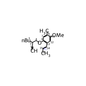 C#CC(CCCC)COc1cc(C)c(OC)cc1/C=C/C